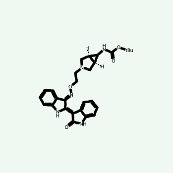 CC(C)(C)OC(=O)NC1[C@H]2CN(CCO/N=C3/C(=C4/C(=O)Nc5ccccc54)Nc4ccccc43)C[C@@H]12